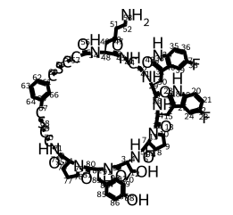 C[C@H](O)[C@@H]1NC(=O)[C@@H]2CCCN2C(=O)[C@H](Cc2c[nH]c3ccc(F)cc23)NC(=O)[C@H](Cc2c[nH]c3ccc(F)cc23)NC(=O)CNC(=O)[C@H](CCCCN)NC(=O)CCSCc2cccc(c2)CSCCNC(=O)[C@]2(C)CCCN2C(=O)[C@H](Cc2ccc(O)cc2)NC1=O